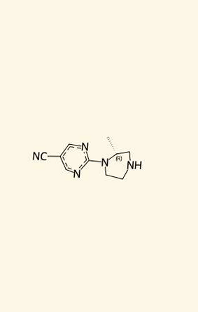 C[C@@H]1CNCCN1c1ncc(C#N)cn1